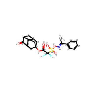 O=C1C2CC3CC1CC(OC(=O)C(F)(F)S(=O)(=O)O/N=C(/c1ccccc1)C(F)(F)F)(C3)C2